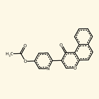 CC(=O)Oc1ccc(-c2coc3ccc4ccccc4c3c2=O)nc1